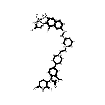 Cn1c(=O)n(C2CCC(=O)NC2=O)c2ccc(C3CCN(CCN4CCC[C@H](COc5ccc6cc(O)c(N7CC(=O)NS7(=O)=O)c(F)c6c5)C4)CC3)cc21